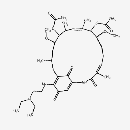 CCN(CC)CCNC1=C2CC(C)CC(OC)C(OC(N)=O)C(C)C=C(C)C(OC(N)=O)C(OC)CCC=C(C)C(=O)NC(=CC1=O)C2=O